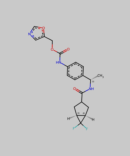 C[C@H](NC(=O)C1C[C@@H]2[C@H](C1)C2(F)F)c1ccc(NC(=O)OCc2cnco2)cc1